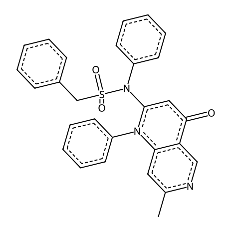 Cc1cc2c(cn1)c(=O)cc(N(c1ccccc1)S(=O)(=O)Cc1ccccc1)n2-c1ccccc1